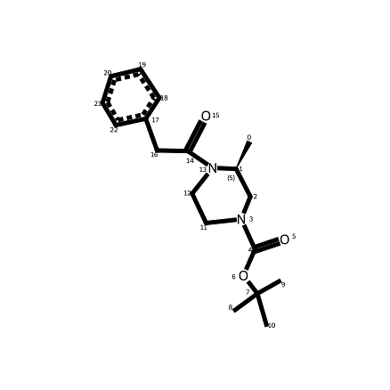 C[C@H]1CN(C(=O)OC(C)(C)C)CCN1C(=O)Cc1ccccc1